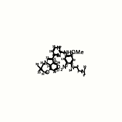 COc1cc(N(C)CCN(C)C)c([N+](=O)[O-])cc1Nc1nccc(-c2cn3c4c(cccc24)OCC(C)(C)C3)n1